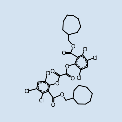 O=C(Oc1c(Cl)cc(Cl)c(Cl)c1C(=O)OCC1CCCCCCC1)C(=O)Oc1c(Cl)cc(Cl)c(Cl)c1C(=O)OCC1CCCCCCC1